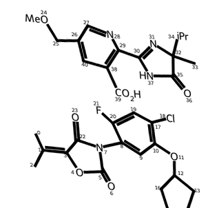 CC(C)=C1OC(=O)N(c2cc(OC3CCCC3)c(Cl)cc2F)C1=O.COCc1cnc(C2=NC(C)(C(C)C)C(=O)N2)c(C(=O)O)c1